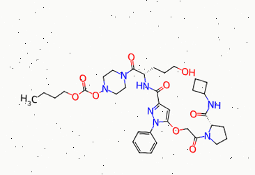 CCCCOC(=O)ON1CCN(C(=O)[C@H](CCCO)NC(=O)c2cc(OCC(=O)N3CCC[C@H]3C(=O)NC3CCC3)n(-c3ccccc3)n2)CC1